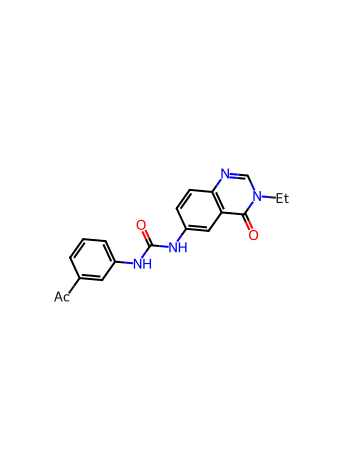 CCn1cnc2ccc(NC(=O)Nc3cccc(C(C)=O)c3)cc2c1=O